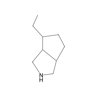 CCC1CCC2CNCC12